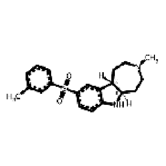 Cc1cccc(S(=O)(=O)c2ccc3c(c2)[C@@H]2CCN(C)CC[C@H]2N3)c1